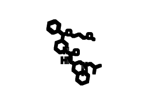 COCCCOC(c1ccccc1)C1CCCN(C(=O)NC(CNCC(C)C)CC2CCCCC2)C1